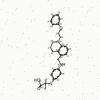 CC(C)(Sc1ccc(NCc2cccc3c2CCCN3CCOc2ccccc2)cc1)C(=O)O